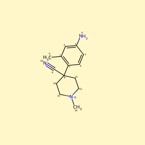 Cc1cc(N)ccc1C1(C#N)CCN(C)CC1